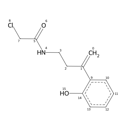 C=C(CCNC(=O)CCl)c1ccccc1O